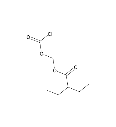 CCC(CC)C(=O)OCOC(=O)Cl